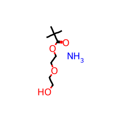 CC(C)(C)C(=O)OCCOCCO.N